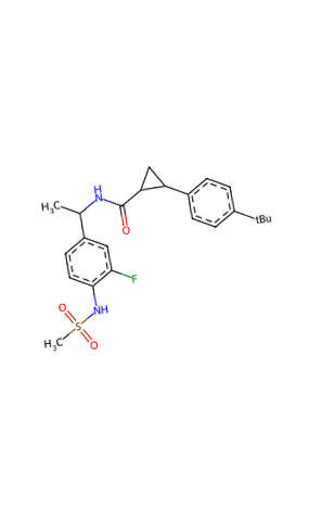 CC(NC(=O)C1CC1c1ccc(C(C)(C)C)cc1)c1ccc(NS(C)(=O)=O)c(F)c1